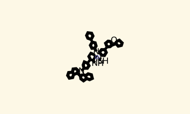 N=C1C(c2ccc(-n3c4ccc5ccccc5c4c4ccc5ccccc5c43)cc2)=CC=C(N(c2ccc(-c3ccccc3)cc2)c2cccc(-c3ccc4oc5ccccc5c4c3)c2)/C1=N/S